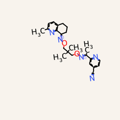 C/C(=N\OCC(C)(C)CO/N=C1\CCCc2ccc(C)nc21)c1cc(C#N)ccn1